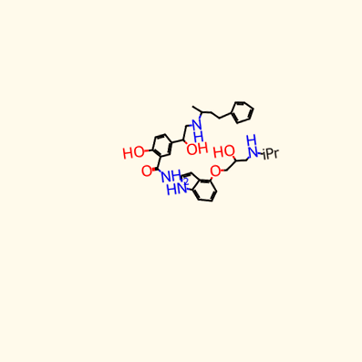 CC(C)NCC(O)COc1cccc2[nH]ccc12.CC(CCc1ccccc1)NCC(O)c1ccc(O)c(C(N)=O)c1